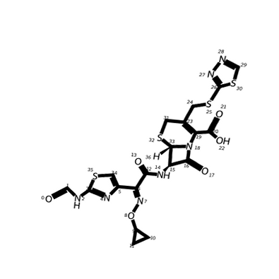 O=CNc1nc(C(=NOC2CC2)C(=O)N[C@@H]2C(=O)N3C(C(=O)O)=C(CSc4nncs4)CS[C@@H]23)cs1